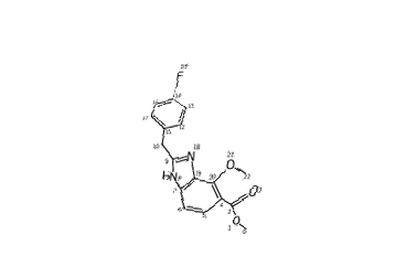 COC(=O)c1ccc2[nH]c(Cc3ccc(F)cc3)nc2c1OC